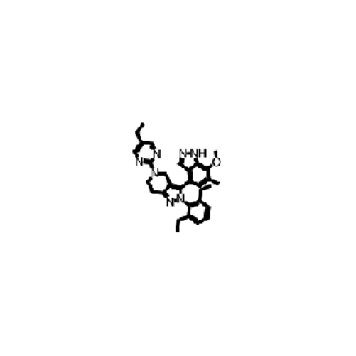 CCc1cnc(N2CCc3nn(-c4c(CC)cccc4CC)c(-c4cc(C)c(OC)c5[nH]ncc45)c3C2)nc1